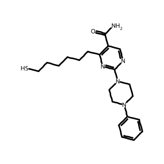 NC(=O)c1cnc(N2CCN(c3ccccc3)CC2)nc1CCCCCCS